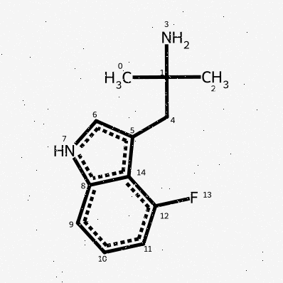 CC(C)(N)Cc1c[nH]c2cccc(F)c12